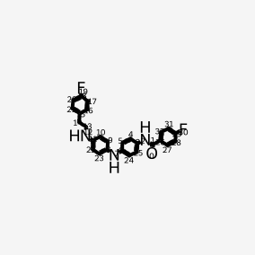 O=C(Nc1ccc(Nc2ccc(NCCc3ccc(F)cc3)cc2)cc1)c1ccc(F)cc1